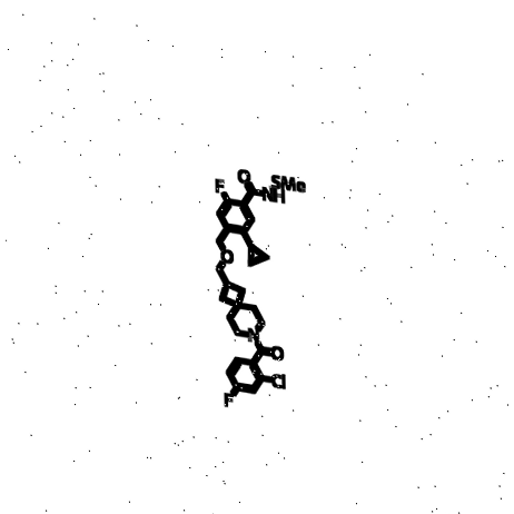 CSNC(=O)c1cc(C2CC2)c(COCC2CC3(CCN(C(=O)c4ccc(F)cc4Cl)CC3)C2)cc1F